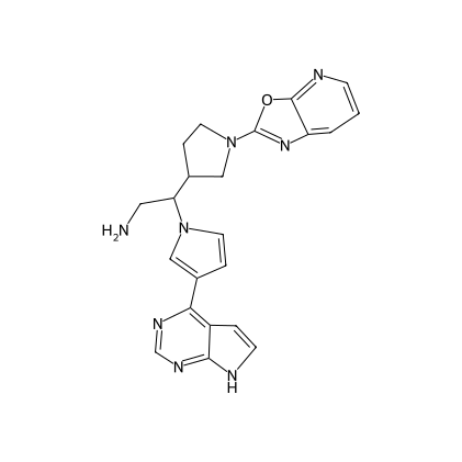 NCC(C1CCN(c2nc3cccnc3o2)C1)n1ccc(-c2ncnc3[nH]ccc23)c1